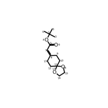 CC(C)(C)OC(=O)C=C1CCC2(CC1)OCCO2